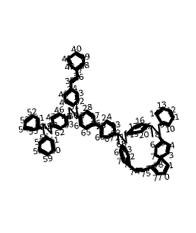 C1=CC23C=CC(=CC2)N(c2ccccc2)c2ccc(cc2)N(c2ccc(-c4ccc(N(c5ccc(C=Cc6ccccc6)cc5)c5ccc(N(c6ccccc6)c6ccccc6)cc5)cc4)cc2)c2ccc(cc2)C=CC(=C1)C3